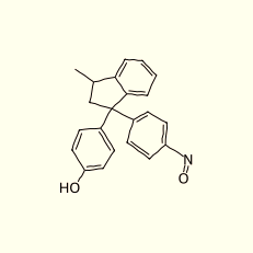 CC1CC(c2ccc(O)cc2)(c2ccc(N=O)cc2)c2ccccc21